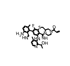 C=CC(=O)N1CCN2C(=N)c3c(Nc4c(C)ccnc4C(C)O)cc(-c4c(C)ccc(N)c4C=N)c(F)c3SCC2C1